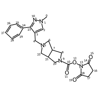 Cn1cc(CN2CC3CN(C(=O)ON4C(=O)CCC4=O)CC3C2)c(-c2ccccc2)n1